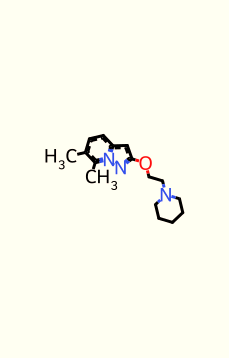 Cc1ccc2cc(OCCN3CCCCC3)nn2c1C